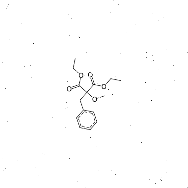 CCOC(=O)C(Cc1ccccc1)(OC)C(=O)OCC